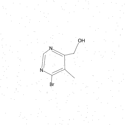 Cc1c(Br)ncnc1CO